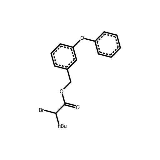 CCCCC(Br)C(=O)OCc1cccc(Oc2ccccc2)c1